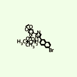 CC(C)(C)OC(=O)N1CC2(C[C@H]1c1ncc(-c3ccc4cc(Br)ccc4c3)[nH]1)OCCO2